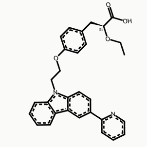 CCO[C@@H](Cc1ccc(OCCn2c3ccccc3c3cc(-c4ccccn4)ccc32)cc1)C(=O)O